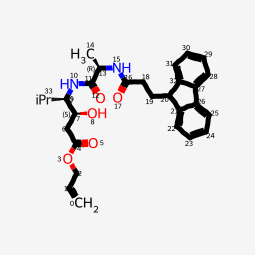 C=CCOC(=O)C[C@H](O)[C@H](NC(=O)[C@@H](C)NC(=O)CCC1c2ccccc2-c2ccccc21)C(C)C